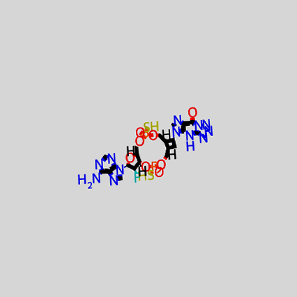 Nc1ncnc2c1ncn2[C@@H]1O[C@@H]2COP(=O)(S)OC[C@@H]3[C@@H](COP(=O)(S)O[C@H]2[C@H]1F)C[C@H]3n1cnc2c(=O)n3nnnc3[nH]c21